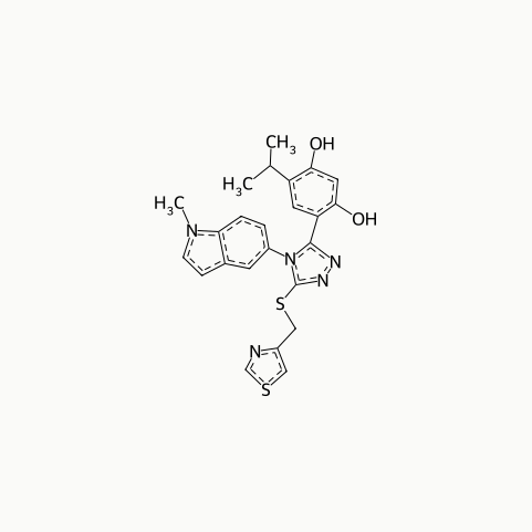 CC(C)c1cc(-c2nnc(SCc3cscn3)n2-c2ccc3c(ccn3C)c2)c(O)cc1O